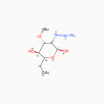 CCCCO[C@@H]1C(N=[N+]=[N-])[C@@H](O)OC(COC(C)=O)[C@H]1O